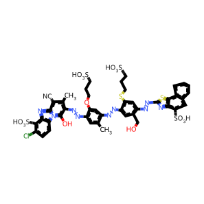 Cc1cc(N=Nc2c(C)c(C#N)c3nc4c(S(=O)(=O)O)c(Cl)ccc4n3c2O)c(OCCCS(=O)(=O)O)cc1N=Nc1cc(CO)c(N=Nc2nc3c(S(=O)(=O)O)cc4ccccc4c3s2)cc1SCCCS(=O)(=O)O